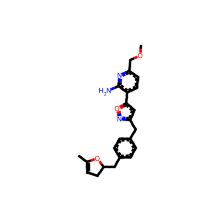 COCc1ccc(-c2cc(Cc3ccc(CC4CC=C(C)O4)cc3)no2)c(N)n1